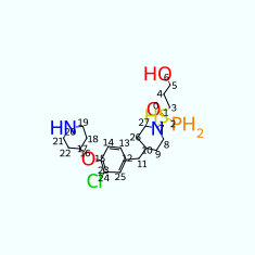 O=[SH](P)(CCCO)N1CCC(Cc2ccc(OC3CCNCC3)c(Cl)c2)CC1